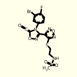 CS(=O)(=O)NCCSc1nonc1C1=NOC(=C=O)N1c1ccc(F)c(Br)c1